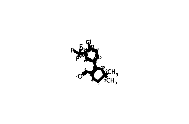 CC1(C)CCC(C=O)=C(c2ccc(Cl)c(C(F)(F)F)c2)C1